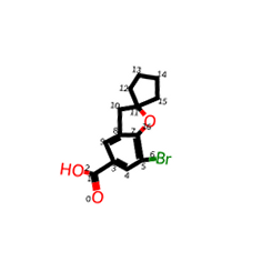 O=C(O)c1cc(Br)c2c(c1)CC1(CCCC1)O2